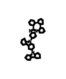 c1ccc2c(c1)-c1ccccc1-c1nc3cc(-n4c5ccccc5c5cc(-n6c7ccccc7c7ccccc76)ccc54)ccc3n1-c1ccccc1-2